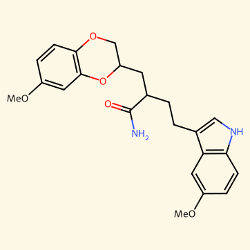 COc1ccc2c(c1)OC(CC(CCc1c[nH]c3ccc(OC)cc13)C(N)=O)CO2